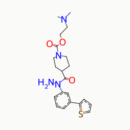 CN(C)CCOC(=O)N1CCC(C(=O)N(N)c2cccc(-c3cccs3)c2)CC1